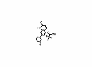 O=C(O)C(F)(F)F.O=c1ccc2ccc(C3CCCNC3)cc2[nH]1